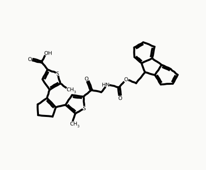 Cc1sc(C(=O)O)cc1C1=C(c2cc(C(=O)CNC(=O)OCC3c4ccccc4-c4ccccc43)sc2C)CCC1